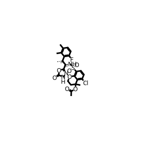 CC(=O)OC1(C)CCOc2c(S(=O)(=O)N[C@H](c3n[nH]c(=O)o3)[C@H](C)c3c(F)ccc(C)c3C)ccc(Cl)c21